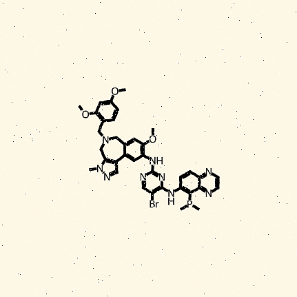 COc1ccc(CN2Cc3cc(OC)c(Nc4ncc(Br)c(Nc5ccc6nccnc6c5P(C)C)n4)cc3-c3cnn(C)c3C2)c(OC)c1